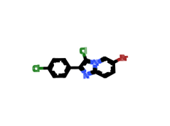 Clc1ccc(-c2nc3ccc(Br)cn3c2Cl)cc1